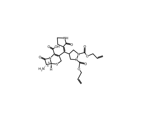 C=CCOC(=O)N1CC(C(=C2CCNC2=O)C2=C(C(=O)O)N3C(=O)[C@@H](N)[C@H]3SC2)CN1C(=O)OCC=C